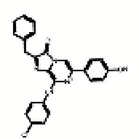 O=c1c(Cc2ccccc2)nc2[c]([Cd][c]3ccc(Cl)cc3)[nH]c(-c3ccc(O)cc3)cn1-2